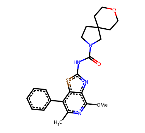 COc1nc(C)c(-c2ccccc2)c2sc(NC(=O)N3CCC4(CCOCC4)C3)nc12